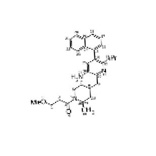 COCCC(=O)N1CCC(Cc2nc(C(C)C)c(-c3cccc4ccccc34)cc2N)C[C@H]1C